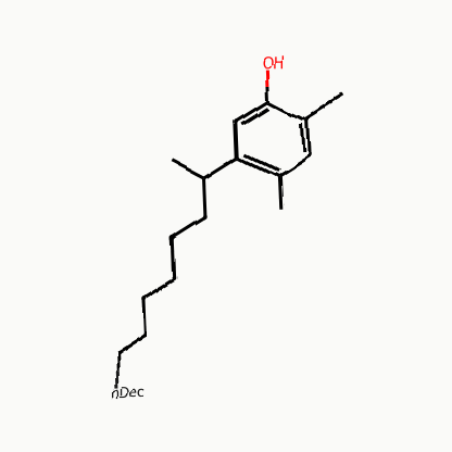 CCCCCCCCCCCCCCCCC(C)c1cc(O)c(C)cc1C